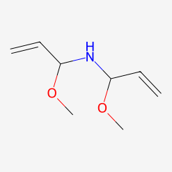 C=CC(NC(C=C)OC)OC